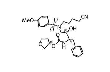 COc1ccc(S(=O)(=O)N(CCCCC#N)C[C@@H](O)[C@H](Cc2ccccc2)NC(=O)O[C@H]2CCOC2)cc1